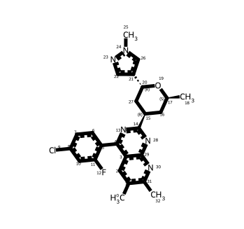 Cc1cc2c(-c3ccc(Cl)cc3F)nc([C@@H]3C[C@H](C)O[C@@H](c4cnn(C)c4)C3)nc2nc1C